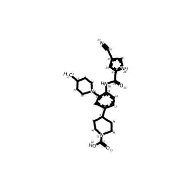 CC1CCN(c2cc(C3CCN(C(=O)O)CC3)ccc2NC(=O)c2cc(C#N)c[nH]2)CC1